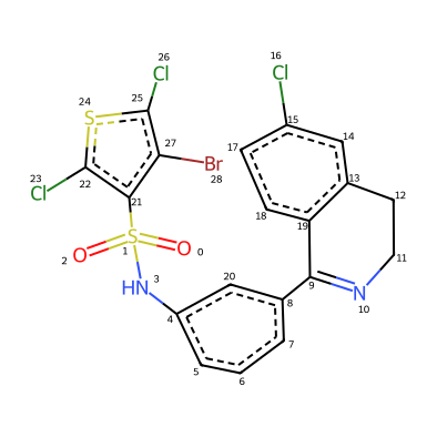 O=S(=O)(Nc1cccc(C2=NCCc3cc(Cl)ccc32)c1)c1c(Cl)sc(Cl)c1Br